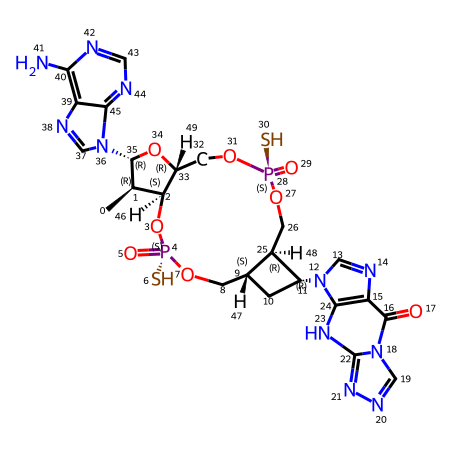 C[C@@H]1[C@@H]2O[P@@](=O)(S)OC[C@H]3C[C@@H](n4cnc5c(=O)n6cnnc6[nH]c54)[C@@H]3CO[P@](=O)(S)OC[C@H]2O[C@H]1n1cnc2c(N)ncnc21